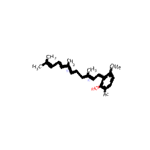 COc1ccc(C(C)=O)c(O)c1C/C=C(\C)CC/C=C(\C)CCC=C(C)C